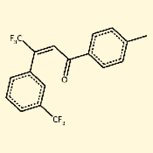 Cc1ccc(C(=O)C=C(c2cccc(C(F)(F)F)c2)C(F)(F)F)cc1